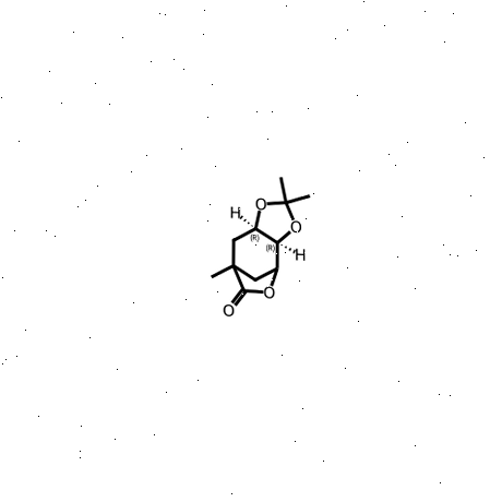 CC1(C)O[C@@H]2CC3(C)CC(OC3=O)[C@@H]2O1